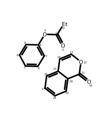 CCC(=O)Oc1ccccc1.O=c1occc2ccccc12